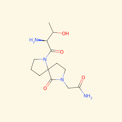 CC(O)[C@H](N)C(=O)N1CCCC12CCN(CC(N)=O)C2=O